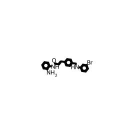 Nc1ccccc1NC(=O)/C=C/c1ccc(CNc2cccc(Br)c2)cc1